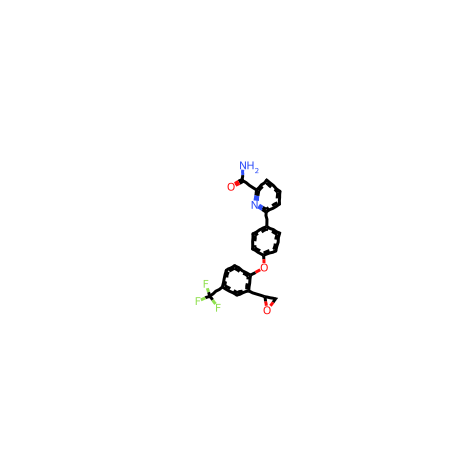 NC(=O)c1cccc(-c2ccc(Oc3ccc(C(F)(F)F)cc3C3CO3)cc2)n1